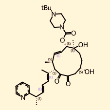 C/C(=C\C=C\[C@H](C)c1ccccn1)[C@H]1C(=O)C(=O)C[C@@H](O)CC[C@](C)(O)[C@@H](OC(=O)N2CCN(C(C)(C)C)CC2)/C=C/[C@@H]1C